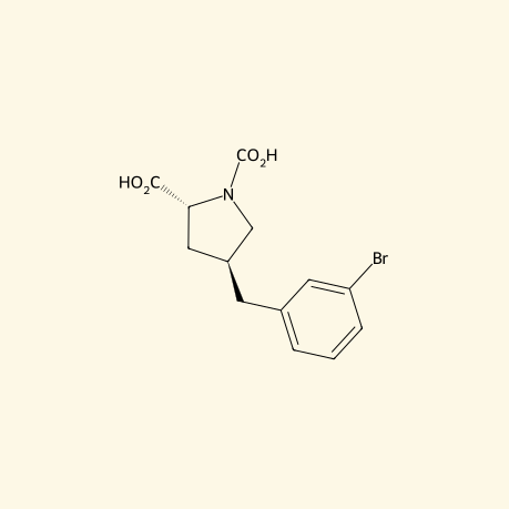 O=C(O)[C@H]1C[C@H](Cc2cccc(Br)c2)CN1C(=O)O